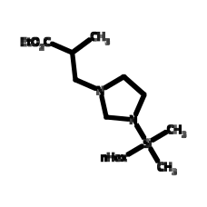 CCCCCC[Si](C)(C)N1CCN(CC(C)C(=O)OCC)C1